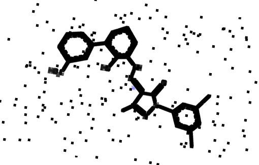 CC1=NN(c2cc(C)cc(C)c2)C(=O)/C1=N\Nc1cccc(-c2cccc(C(=O)O)c2)c1O